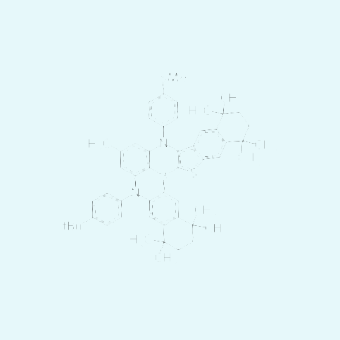 CSc1ccc(N2c3cc(C)cc4c3B(c3cc5c(cc3N4c3ccc(C(C)(C)C)cc3)C(C)(C)CCC5(C)C)c3sc4cc5c(cc4c32)C(C)(C)CCC5(C)C)cc1